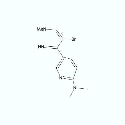 CN/C=C(/Br)C(=N)c1ccc(N(C)C)nc1